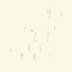 C[C@H]1CN(Cc2cccnc2)C(=O)c2c(O)c(=O)c(C(=O)O)cn21